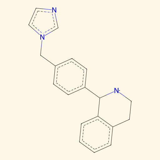 c1ccc2c(c1)CC[N]C2c1ccc(Cn2ccnc2)cc1